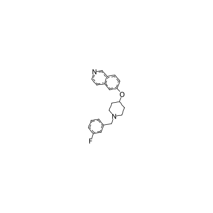 Fc1cccc(CN2CCC(Oc3ccc4cnccc4c3)CC2)c1